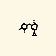 Cc1ccc(CC2C=C(C3CC3)CCC2=O)cc1F